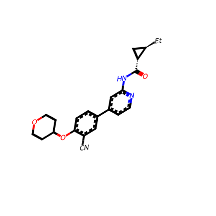 CC[C@@H]1C[C@H]1C(=O)Nc1cc(-c2ccc(OC3CCOCC3)c(C#N)c2)ccn1